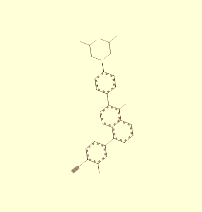 CC1CN(c2ccc(-c3cnc4c(-c5ccc(C#N)c(F)c5)cccc4c3O)cc2)CC(C)O1